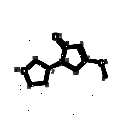 COC1=CC(=O)N([C@H]2CCOC2)C1